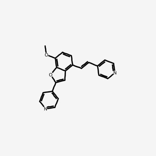 COc1ccc(C=Cc2ccncc2)c2cc(-c3ccncc3)oc12